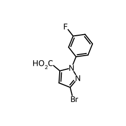 O=C(O)c1cc(Br)nn1-c1cccc(F)c1